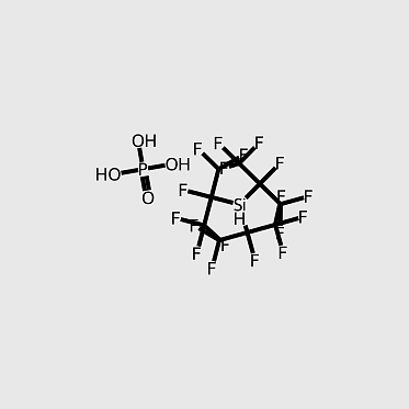 FC(F)C(F)([SiH](C(F)(C(F)F)C(F)(F)F)C(F)(C(F)F)C(F)(F)F)C(F)(F)F.O=P(O)(O)O